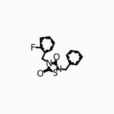 O=c1sn(Cc2ccccc2)c(=O)n1Cc1ccccc1F